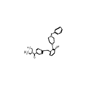 CCN(CC)C(=O)c1ccc(Cc2cccc(O)c2N2CCN(Cc3ccccc3)CC2)cc1